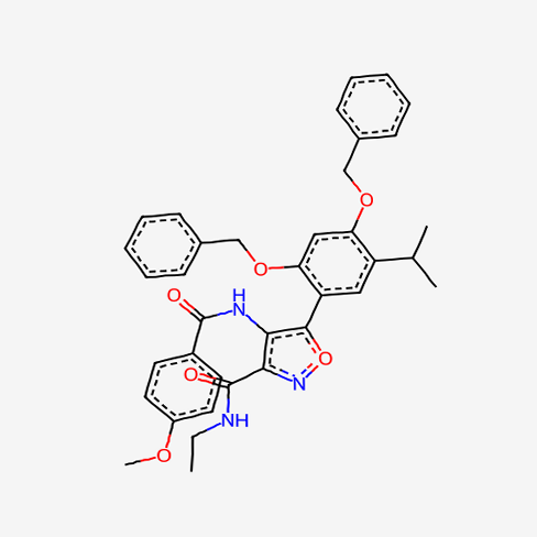 CCNC(=O)c1noc(-c2cc(C(C)C)c(OCc3ccccc3)cc2OCc2ccccc2)c1NC(=O)c1ccc(OC)cc1